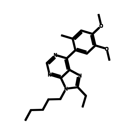 CCCCCn1c(CC)nc2c(-c3cc(OC)c(OC)cc3C)ncnc21